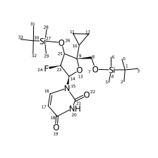 CC(C)(C)[Si](C)(C)OC[C@@]1(C2CC2)O[C@@H](n2ccc(=O)[nH]c2=O)[C@@H](F)C1O[Si](C)(C)C(C)(C)C